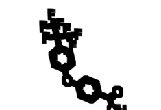 O=C(O)c1ccc(Oc2ccc(C(F)(C(F)(F)F)C(F)(F)F)cc2)cc1